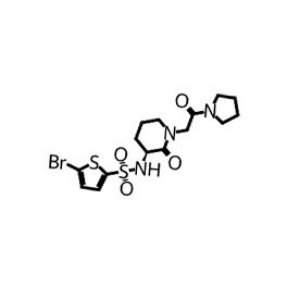 O=C(CN1CCC[C@H](NS(=O)(=O)c2ccc(Br)s2)C1=O)N1CCCC1